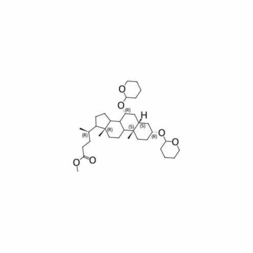 COC(=O)CC[C@@H](C)C1CCC2C3C(CC[C@@]21C)[C@@]1(C)CC[C@@H](OC2CCCCO2)C[C@H]1C[C@H]3OC1CCCCO1